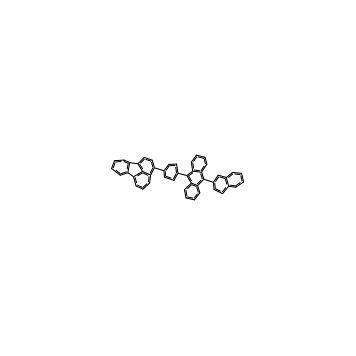 c1ccc2c(c1)-c1cccc3c(-c4ccc(-c5c6ccccc6c(-c6ccc7ccccc7c6)c6ccccc56)cc4)ccc-2c13